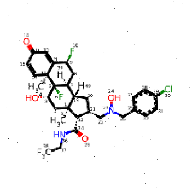 C[C@]12C[C@H](O)[C@@]3(F)[C@@H](C[C@H](F)C4=CC(=O)C=C[C@@]43C)[C@@H]1C[C@@H](CN(O)Cc1ccc(Cl)cc1)[C@@H]2C(=O)NCC(F)(F)F